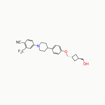 N#Cc1ccc(N2CCC(c3ccc(OC[C@H]4C[C@H](CO)C4)cc3)CC2)cc1C(F)(F)F